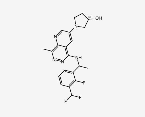 Cc1nnc(NC(C)c2cccc(C(F)F)c2F)c2cc(N3CC[C@H](O)C3)cnc12